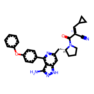 N#C/C(=C\C1CC1)C(=O)N1CCC[C@@H]1Cc1cc2[nH]nc(N)c2c(-c2ccc(Oc3ccccc3)cc2)n1